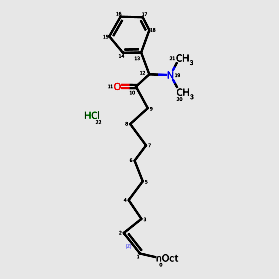 CCCCCCCC/C=C\CCCCCCCC(=O)C(c1ccccc1)N(C)C.Cl